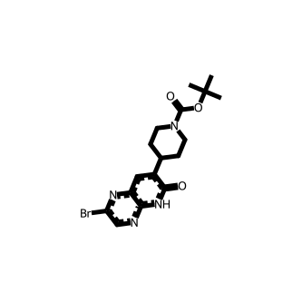 CC(C)(C)OC(=O)N1CCC(c2cc3nc(Br)cnc3[nH]c2=O)CC1